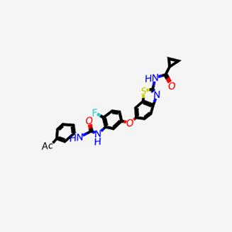 CC(=O)c1cccc(NC(=O)Nc2cc(Oc3ccc4nc(NC(=O)C5CC5)sc4c3)ccc2F)c1